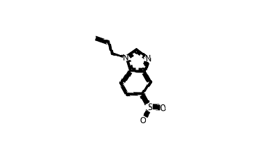 C=CCn1cnc2c1=CCC(=S(=O)=O)C=2